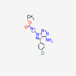 CCOC(=O)N1CC(n2nc(-c3ccc(Cl)cc3)c3c(N)ncnc32)C1